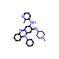 Cc1ncccc1Nc1cc2nc3ccccc3n(-c3ccccc3)c-2c/c1=N\C1CCN(C)CC1